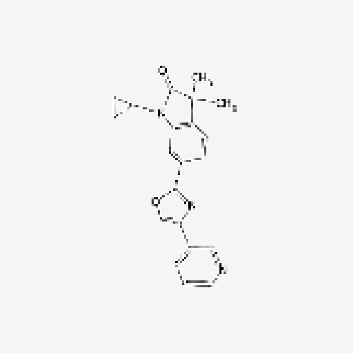 CC1(C)C(=O)N(C2CC2)c2cc(-c3nc(-c4cccnc4)co3)ccc21